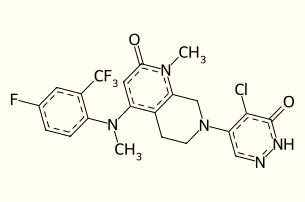 CN(c1ccc(F)cc1C(F)(F)F)c1cc(=O)n(C)c2c1CCN(c1cn[nH]c(=O)c1Cl)C2